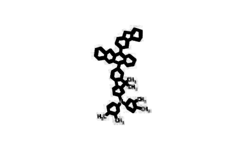 Cc1ccc(N(c2ccc(C)c(C)c2)c2ccc3c(c2)C(C)(C)c2cc(-c4c5ccccc5c(-c5ccc6c(c5)-c5ccccc5C6)c5cc6ccccc6cc45)ccc2-3)cc1C